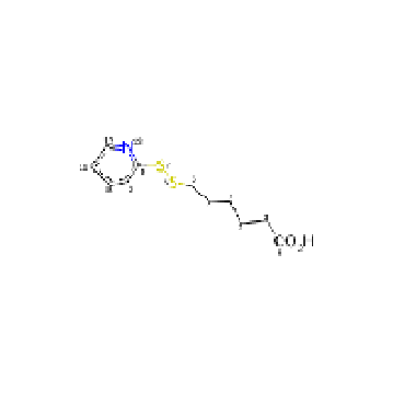 O=C(O)CCCCCSSc1ccccn1